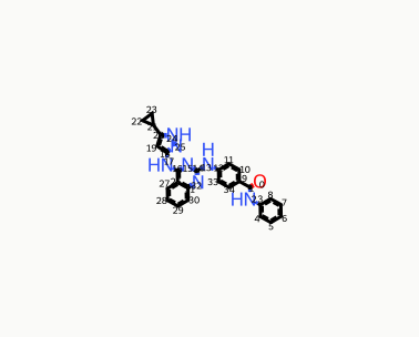 O=C(Nc1ccccc1)c1ccc(Nc2nc(Nc3cc(C4CC4)[nH]n3)c3ccccc3n2)cc1